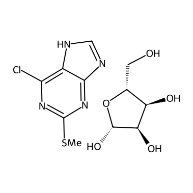 CSc1nc(Cl)c2[nH]cnc2n1.OC[C@H]1O[C@@H](O)[C@H](O)[C@@H]1O